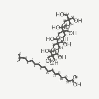 CC(C)CCCCCCCCCCCCCCC(=O)O.OCC(CO)(CO)CO.OCC(CO)(CO)CO.OCC(CO)(CO)CO.OCC(CO)(CO)CO